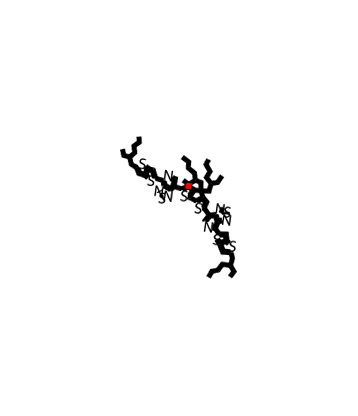 CCCCC(CC)Cc1cc2sc(-c3ncc(-c4cc5c(s4)-c4sc(-c6cnc(-c7cc8sc(CC(CC)CCCC)cc8s7)c7nsnc67)cc4C5(CC(CC)CCCC)CC(CC)CCCC)c4nsnc34)cc2s1